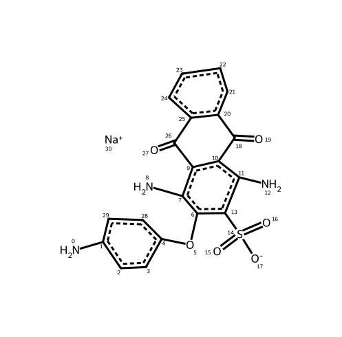 Nc1ccc(Oc2c(N)c3c(c(N)c2S(=O)(=O)[O-])C(=O)c2ccccc2C3=O)cc1.[Na+]